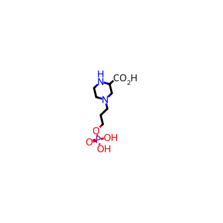 O=C(O)C1CN(CCCOP(=O)(O)O)CCN1